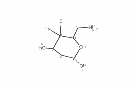 NCC1O[C@H](O)CC(O)C1(F)F